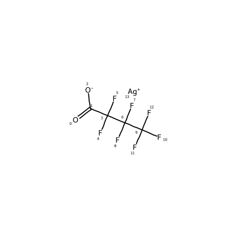 O=C([O-])C(F)(F)C(F)(F)C(F)(F)F.[Ag+]